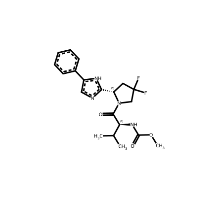 COC(=O)N[C@H](C(=O)N1CC(F)(F)C[C@H]1c1ncc(-c2ccccc2)[nH]1)C(C)C